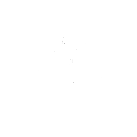 CCc1ccc(-n2c(-c3ccccc3)nnc2C(C)(C)CC)c(C)c1